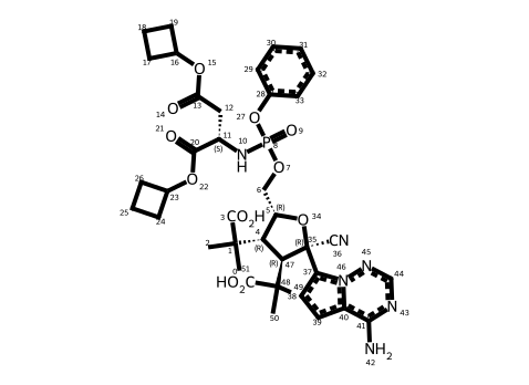 CC(C)(C(=O)O)[C@@H]1[C@H](COP(=O)(N[C@@H](CC(=O)OC2CCC2)C(=O)OC2CCC2)Oc2ccccc2)O[C@@](C#N)(c2ccc3c(N)ncnn23)[C@H]1C(C)(C)C(=O)O